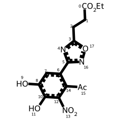 CCOC(=O)CCc1nc(-c2cc(O)c(O)c([N+](=O)[O-])c2C(C)=O)no1